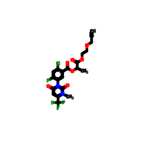 C#CCOCCOC(=O)C(C)OC(=O)c1cc(-n2c(=O)cc(C(F)(F)F)n(C)c2=O)c(F)cc1Cl